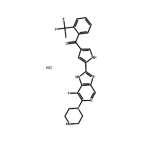 Cl.O=C(c1c[nH]c(-c2nc3cnc(N4CCNCC4)c(F)c3[nH]2)c1)c1ccccc1C(F)(F)F